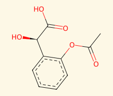 CC(=O)Oc1ccccc1[C@@H](O)C(=O)O